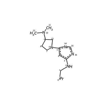 CC(C)CNc1cc(N2CCC(N(C)C)C2)ncn1